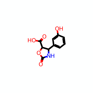 O=C1NC(c2cccc(O)c2)C(C(=O)O)O1